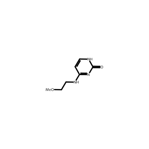 COCCNc1cc[nH]c(=O)n1